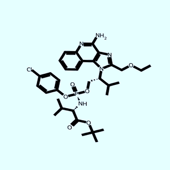 CCOCc1nc2c(N)nc3ccccc3c2n1[C@@H](CO[P@@](=O)(N[C@H](C(=O)OC(C)(C)C)C(C)C)Oc1ccc(Cl)cc1)C(C)C